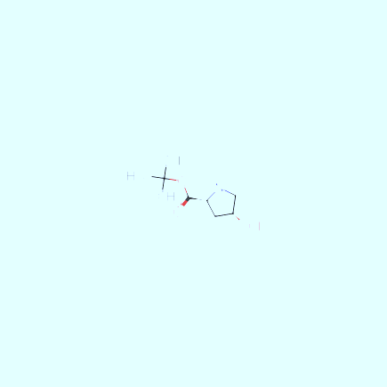 CC(C)(C)OC(=O)[C@@H]1C[C@H](O)CN1